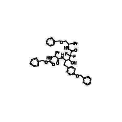 CC(C)[C@H](COCc1ccccc1)NC(=O)C(F)(F)C(O)C(Cc1ccc(OCc2ccccc2)cc1)NC(=O)[C@@H](NC(=O)OCc1ccccc1)C(C)C